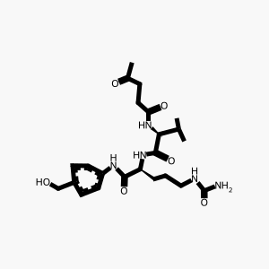 CC(=O)CCC(=O)N[C@H](C(=O)N[C@@H](CCCNC(N)=O)C(=O)Nc1ccc(CO)cc1)C(C)C